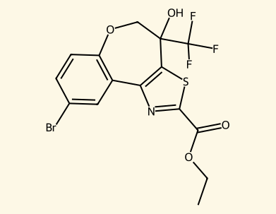 CCOC(=O)c1nc2c(s1)C(O)(C(F)(F)F)COc1ccc(Br)cc1-2